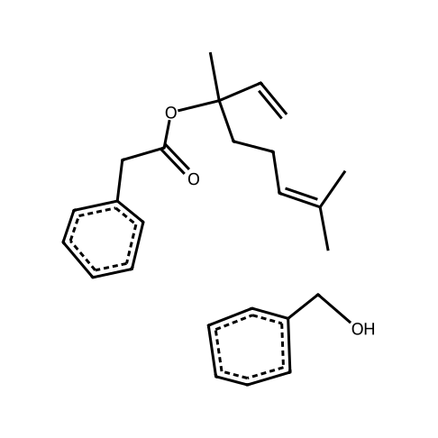 C=CC(C)(CCC=C(C)C)OC(=O)Cc1ccccc1.OCc1ccccc1